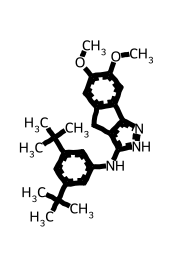 COc1cc2c(cc1OC)-c1n[nH]c(Nc3cc(C(C)(C)C)cc(C(C)(C)C)c3)c1C2